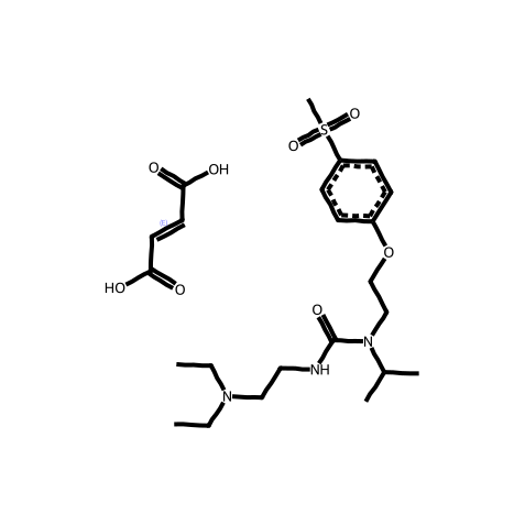 CCN(CC)CCNC(=O)N(CCOc1ccc(S(C)(=O)=O)cc1)C(C)C.O=C(O)/C=C/C(=O)O